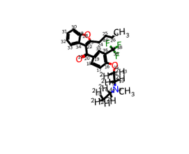 [2H]C([2H])([2H])C([2H])([2H])N(C)C([2H])([2H])C([2H])([2H])Oc1ccc(C(=O)c2c(CCCC)oc3ccccc23)cc1C(F)(F)F